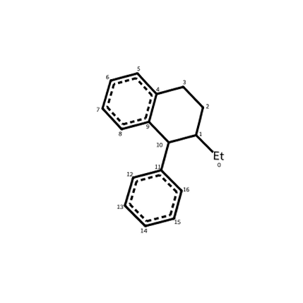 CCC1CCc2ccccc2C1c1ccccc1